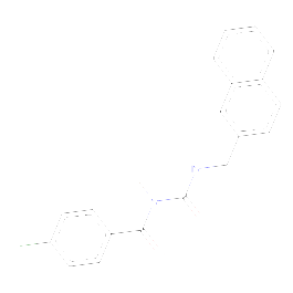 O=C(NCc1ccc2ccccc2c1)N(S)C(=O)c1ccc(Cl)cc1